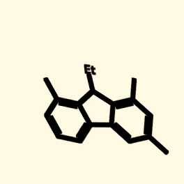 CCC1c2c(C)cccc2-c2cc(C)cc(C)c21